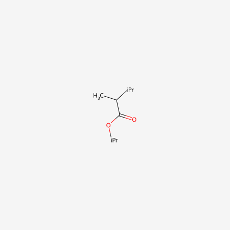 CC(C)OC(=O)C(C)C(C)C